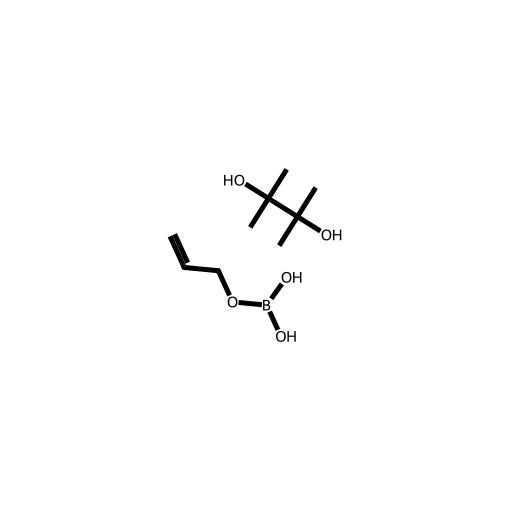 C=CCOB(O)O.CC(C)(O)C(C)(C)O